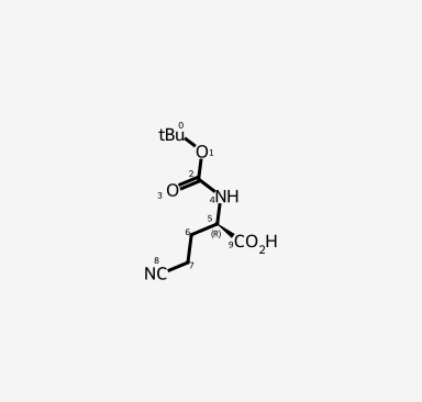 CC(C)(C)OC(=O)N[C@H](CCC#N)C(=O)O